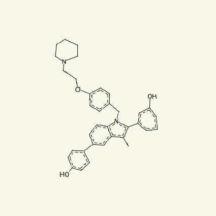 Cc1c(-c2cccc(O)c2)n(Cc2ccc(OCCN3CCCCC3)cc2)c2ccc(-c3ccc(O)cc3)cc12